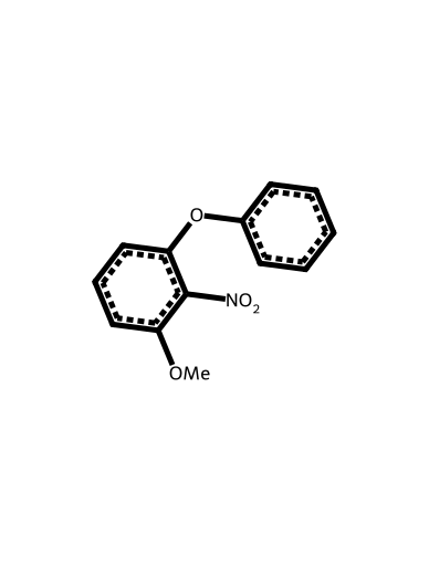 COc1cccc(Oc2ccccc2)c1[N+](=O)[O-]